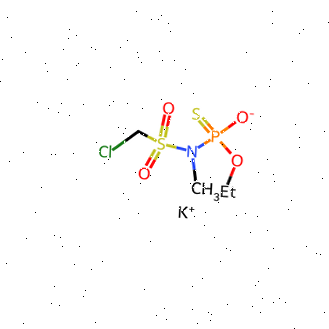 CCOP([O-])(=S)N(C)S(=O)(=O)CCl.[K+]